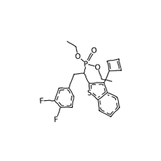 CCOP(=O)(OCC)C(Cc1ccc(F)c(F)c1)c1sc2ccccc2c1C1=CC=C1